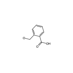 [O]Cc1ccccc1C(=O)O